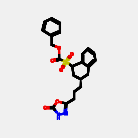 O=C(OCc1ccccc1)S(=O)(=O)C1C[C@H](CCCc2n[nH]c(=O)o2)Cc2ccccc21